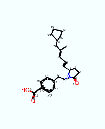 C/C(=C\C=C\[C@H]1CCC(=O)N1CCc1ccc(C(=O)O)cc1)CC1CCCC1